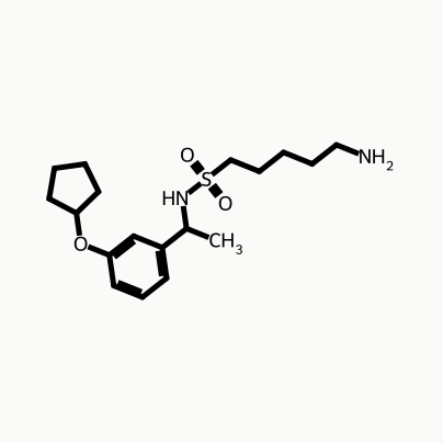 CC(NS(=O)(=O)CCCCCN)c1cccc(OC2CCCC2)c1